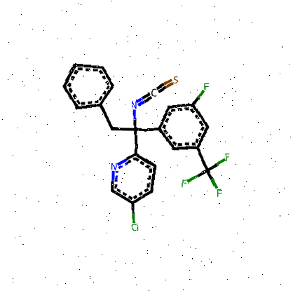 Fc1cc(C(F)(F)F)cc(C(Cc2ccccc2)(N=C=S)c2ccc(Cl)cn2)c1